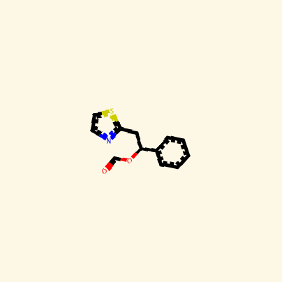 O=COC(Cc1nccs1)c1ccccc1